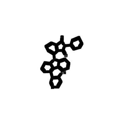 N#Cc1ccncc1-c1cccc2c1c1ccccc1n2-c1cccc2c1C(=O)N(c1ccccc1)C2=O